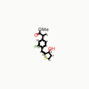 COC(=O)C(C)c1ccc(C=C2SCCC2O)c(F)c1